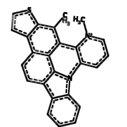 Cc1c2sccc2c2ccc3c4ccccc4n4c5ccc[n+](C)c5c1c2c34